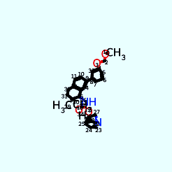 COCOc1cccc(-c2ccc3c(c2)C(NC(=O)O[C@H]2CN4CCC2CC4)C(C)(C)CC3)c1